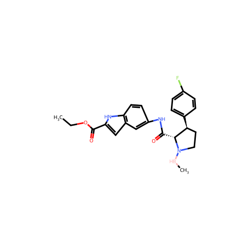 CBN1CC[C@H](c2ccc(F)cc2)[C@H]1C(=O)Nc1ccc2[nH]c(C(=O)OCC)cc2c1